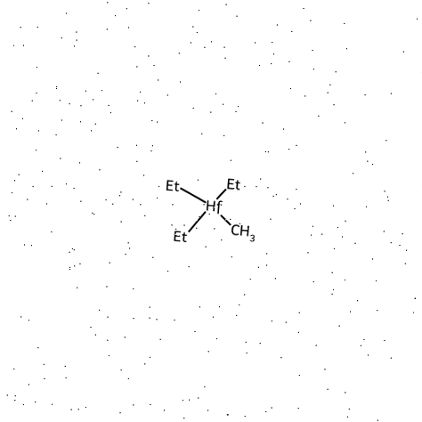 C[CH2][Hf]([CH3])([CH2]C)[CH2]C